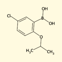 CC(C)Oc1ccc(Cl)cc1B(O)O